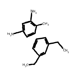 CCc1cccc(CC)c1.Cc1ccc(N)cc1N